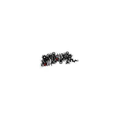 CC/C=C\C=C/N(C)[C@@H](CC(C)C)C(=O)N1CCC[C@H]1C(=O)N[C@@H](C)C(O)C(=O)N[C@@H](C)C(=O)NCC(=O)N(C)[C@@H](CC(C)C)C(=O)N(C)[C@@H](C)C(=O)N[C@@H](C)C(=O)N(C)C(C)(Cc1ccccc1)C(=O)N[C@@H](C(=O)N(C)[C@@H](CC)C(C)=O)[C@@H](C)O